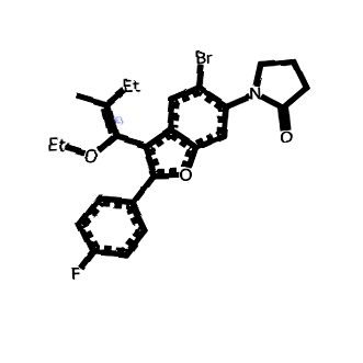 CCO/C(=C(\C)CC)c1c(-c2ccc(F)cc2)oc2cc(N3CCCC3=O)c(Br)cc12